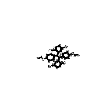 CCOc1ccc(C(c2cc(Br)ccc2Cl)C(c2ccc(OCC)cc2)c2cc(Br)ccc2Cl)cc1